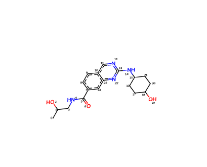 CC(O)CNC(=O)c1ccc2cnc(NC3CCC(O)CC3)nc2c1